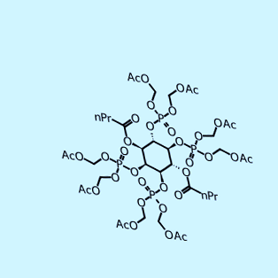 CCCC(=O)O[C@@H]1[C@@H](OP(=O)(OCOC(C)=O)OCOC(C)=O)[C@@H](OP(=O)(OCOC(C)=O)OCOC(C)=O)[C@@H](OC(=O)CCC)[C@H](OP(=O)(OCOC(C)=O)OCOC(C)=O)[C@H]1OP(=O)(OCOC(C)=O)OCOC(C)=O